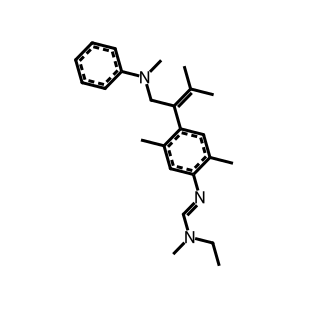 CCN(C)C=Nc1cc(C)c(C(CN(C)c2ccccc2)=C(C)C)cc1C